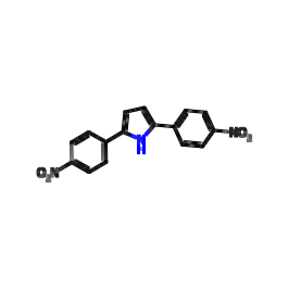 O=[N+]([O-])c1ccc(-c2ccc(-c3ccc([N+](=O)[O-])cc3)[nH]2)cc1